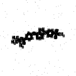 CC(C)(C)OC(=O)N1CCC(Oc2cccc3c2CCN3c2ccc(S(C)(=O)=O)cc2)CC1